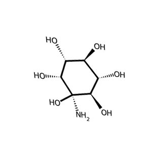 N[C@]1(O)[C@H](O)[C@H](O)[C@@H](O)[C@H](O)[C@H]1O